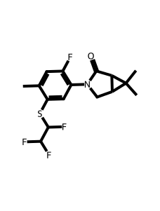 Cc1cc(F)c(N2CC3C(C2=O)C3(C)C)cc1SC(F)C(F)F